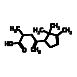 C=C(CC(C)C(=O)O)C1CC=C(C)C1(C)C